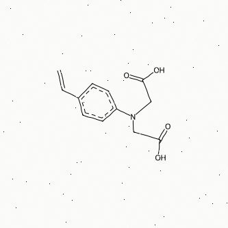 C=Cc1ccc(N(CC(=O)O)CC(=O)O)cc1